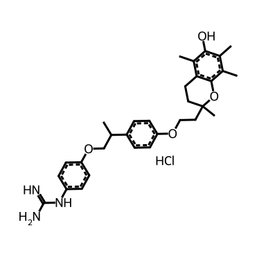 Cc1c(C)c2c(c(C)c1O)CCC(C)(CCOc1ccc(C(C)COc3ccc(NC(=N)N)cc3)cc1)O2.Cl